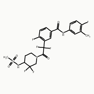 Cc1cc(NC(=O)c2ccc(F)c(C(F)(F)C(=O)N3CCC(NS(C)(=O)=O)C(F)(F)C3)c2)ccc1F